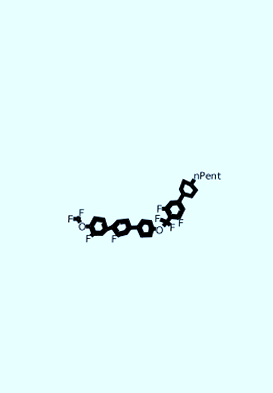 CCCCCC1CCC(c2cc(F)c(C(F)(F)Oc3ccc(-c4ccc(-c5ccc(OC(F)F)c(F)c5)c(F)c4)cc3)c(F)c2)CC1